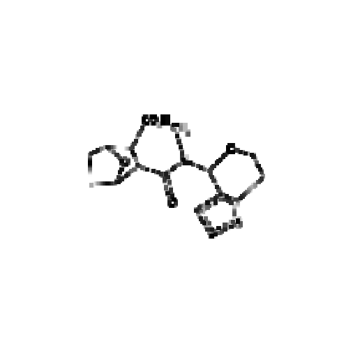 CN(C(=O)C1C2CCC(O2)C1C(=O)O)C1OCCc2sccc21